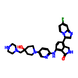 O=C1NCc2c(-c3cnc4cc(F)ccn34)ccc(Nc3ccc(N4CCC(O)(CN5CCNCC5)CC4)cn3)c21